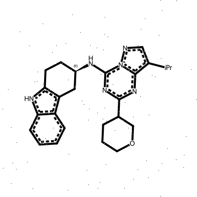 CC(C)c1cnn2c(N[C@@H]3CCc4[nH]c5ccccc5c4C3)nc(C3CCCOC3)nc12